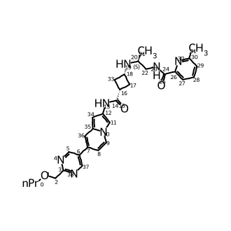 CCCOCc1ncc(-c2ccn3cc(NC(=O)[C@H]4C[C@@H](N[C@@H](C)CNC(=O)c5cccc(C)n5)C4)cc3c2)cn1